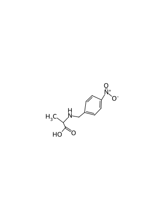 CC(NCc1ccc([N+](=O)[O-])cc1)C(=O)O